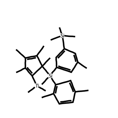 CC1=C(C)C(C)([Si](C)(c2cc(C)cc([Si](C)(C)C)c2)c2cc(C)ccc2C)[C]([Ti]([CH3])[CH3])=C1C